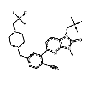 Cn1c(=O)n(CC(C)(C)C)c2ccc(-c3cc(CN4CCN(CC(F)(F)F)CC4)ccc3C#N)nc21